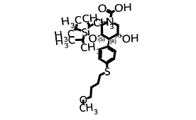 COCCCCSc1ccc([C@@H]2[C@@H](O)CN(C(=O)O)C[C@H]2O[Si](C(C)C)(C(C)C)C(C)C)cc1